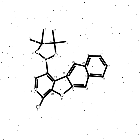 CC1(C)OB(c2cnc(Cl)c3oc4cc5ccccc5cc4c23)OC1(C)C